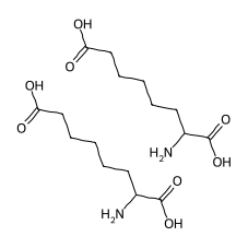 NC(CCCCCC(=O)O)C(=O)O.NC(CCCCCC(=O)O)C(=O)O